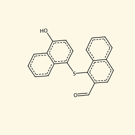 O=Cc1ccc2ccccc2c1Sc1ccc(O)c2ccccc12